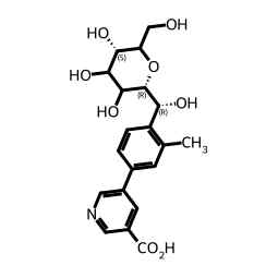 Cc1cc(-c2cncc(C(=O)O)c2)ccc1[C@@H](O)[C@H]1OC(CO)[C@@H](O)C(O)C1O